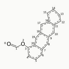 O=[C]Oc1cccc2cc3cc4ccccc4cc3cc12